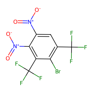 O=[N+]([O-])c1cc(C(F)(F)F)c(Br)c(C(F)(F)F)c1[N+](=O)[O-]